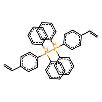 C=Cc1ccc([PH](c2ccccc2)(c2ccccc2)[PH](c2ccccc2)(c2ccccc2)c2ccc(C=C)cc2)cc1